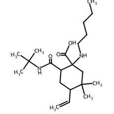 C=CC1CC(C(=O)NC(C)(C)C)C(NCCCCC)(C(=O)O)CC1(C)C